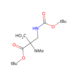 CNC(CNC(=O)OC(C)(C)C)(C(=O)O)C(=O)OC(C)(C)C